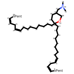 CCCCC/C=C\C/C=C\CCCCCCCCC1(CCCCCCCC/C=C\C/C=C\CCCCC)CCC(CN(C)C)CO1